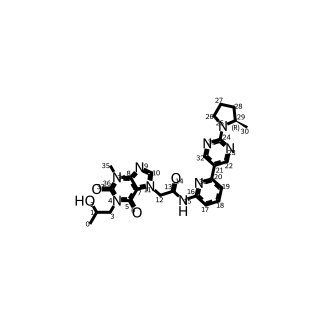 CC(O)Cn1c(=O)c2c(ncn2CC(=O)Nc2cccc(-c3cnc(N4CCC[C@H]4C)nc3)n2)n(C)c1=O